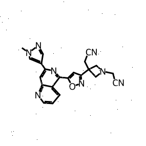 Cn1cc(-c2cc3ncccc3c(-c3cc(C4(CC#N)CN(CC#N)C4)no3)n2)cn1